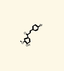 COc1cc(C(=O)/C=C/c2ccc(Br)cc2)ccc1O